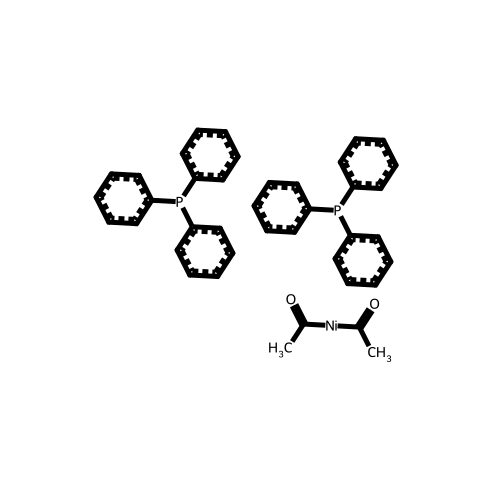 C[C](=O)[Ni][C](C)=O.c1ccc(P(c2ccccc2)c2ccccc2)cc1.c1ccc(P(c2ccccc2)c2ccccc2)cc1